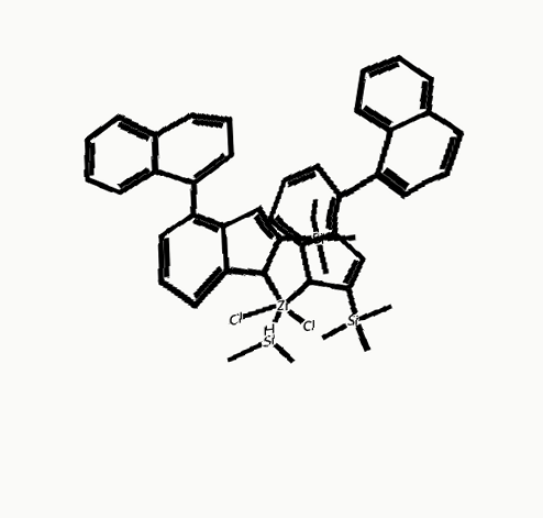 C[SiH](C)[Zr]([Cl])([Cl])([CH]1C([Si](C)(C)C)=Cc2c(-c3cccc4ccccc34)cccc21)[CH]1C([Si](C)(C)C)=Cc2c(-c3cccc4ccccc34)cccc21